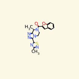 Cc1nsc(-c2nnc3n2CCN(C(=O)c2cc4ccccc4o2)[C@@H]3C)n1